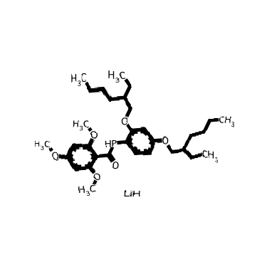 CCCCC(CC)COc1ccc(PC(=O)c2c(OC)cc(OC)cc2OC)c(OCC(CC)CCCC)c1.[LiH]